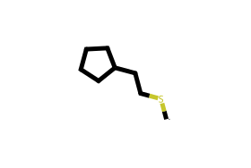 [CH2]SCCC1CCCC1